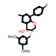 COc1cc(C[C@H]2COc3c(-c4ccc(F)cc4)cc(C)cc3[C@H]2O)cc(OC)c1